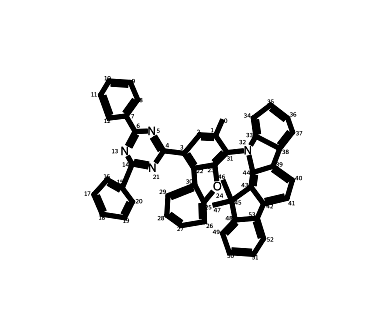 Cc1cc(-c2nc(-c3ccccc3)nc(-c3ccccc3)n2)c2c(oc3ccccc32)c1-n1c2ccccc2c2ccc3c(c21)C(C)(C)c1ccccc1-3